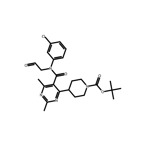 Cc1nc(C)c(C(=O)N(CC=O)c2cccc(Cl)c2)c(C2CCN(C(=O)OC(C)(C)C)CC2)n1